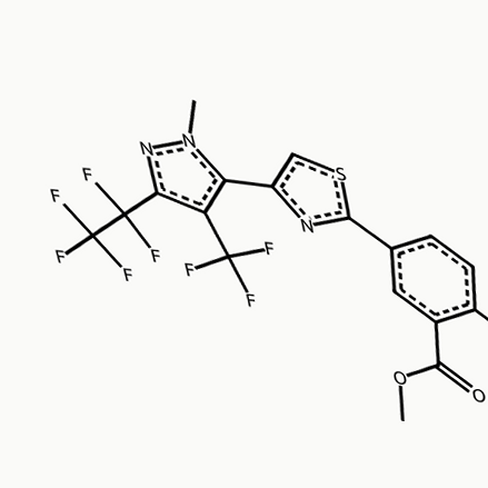 COC(=O)c1cc(-c2nc(-c3c(C(F)(F)F)c(C(F)(F)C(F)(F)F)nn3C)cs2)ccc1F